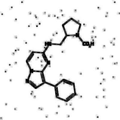 O=C(O)N1CCCC1CNc1ccn2ncc(-c3ccccc3)c2n1